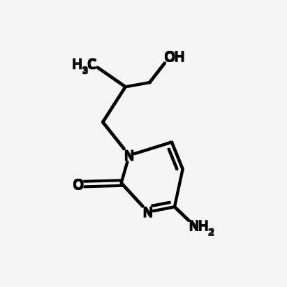 CC(CO)Cn1ccc(N)nc1=O